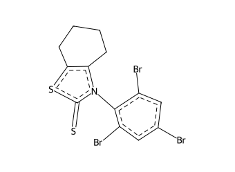 S=c1sc2c(n1-c1c(Br)cc(Br)cc1Br)CCCC2